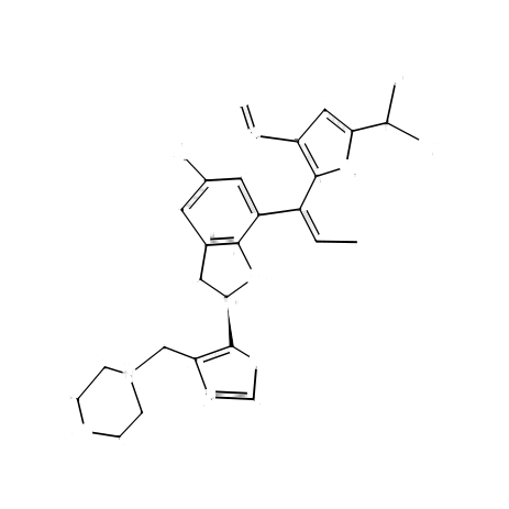 C=Nc1cc(C(O)CC)sc1/C(=C\C)c1cc(Cl)cc2c1O[C@@H](c1ocnc1CN1CCOCC1)C2